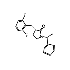 C[C@@H](c1ccccc1)N1CC[C@H](Cc2c(F)cccc2F)C1=O